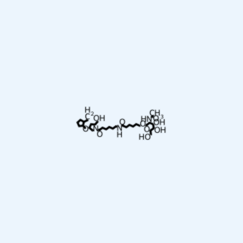 C=CC1CCCC1O[C@@H]1CC(CO)N(C(=O)CCCCCNC(=O)CCCCCOC2OC(CO)C(O)C(O)C2NC(C)=O)C1